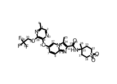 Cc1cnc(Oc2ccc3nc(C(=O)NC4(C)CCS(=O)(=O)CC4)c(C)n3c2)c(OCC(F)(F)F)n1